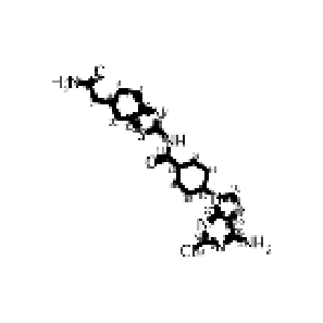 NC(=O)Cc1ccc2nc(NC(=O)C3CCC(n4cnc5c(N)nc(Cl)nc54)CC3)sc2c1